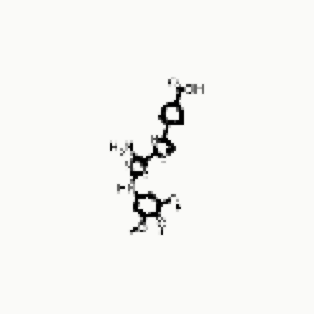 COc1cc(Nc2nc(N)c(-c3nc(-c4ccc(C(=O)O)cc4)cs3)s2)cc(OC)c1OC